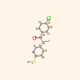 CSc1ccc(C(C)C(=O)c2ccc(Cl)cc2)cc1